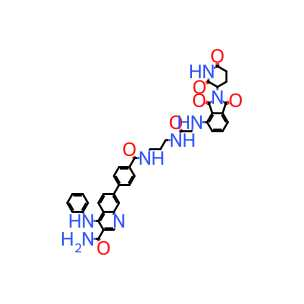 NC(=O)c1cnc2cc(-c3ccc(C(=O)NCCCNC(=O)CNc4cccc5c4C(=O)N(C4CCC(=O)NC4=O)C5=O)cc3)ccc2c1Nc1ccccc1